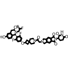 C[C@@H]1Cc2cc(O)ccc2[C@H](c2c(F)cc(OC3CC4(CCN(C(=O)CN5Cc6cc7c(cc6C5)C(=O)N(C5CCC(=O)NC5=O)C7=O)CC4)C3)cc2F)N1CC(F)F